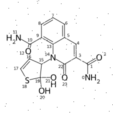 NC(=O)c1cc2cccc(C(N)=O)c2n(C2C=CSC2(O)O)c1=O